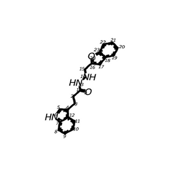 O=C(CCc1c[nH]c2ccccc12)NNCc1cc2ccccc2o1